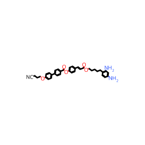 N#CCCCOc1ccc(-c2ccc(C(=O)Oc3ccc(/C=C/C(=O)OCCCCCc4ccc(N)cc4N)cc3)cc2)cc1